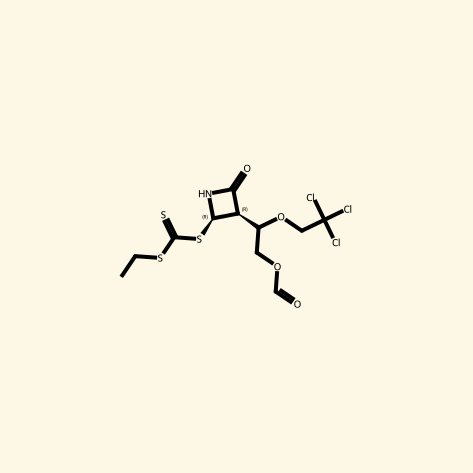 CCSC(=S)S[C@H]1NC(=O)[C@H]1C(COC=O)OCC(Cl)(Cl)Cl